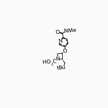 CNC(=O)c1ccc(O[C@H]2CN(C(=O)O)[C@@H]2CC(C)(C)C)cn1